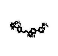 Cn1nnnc1-c1ccc(/C=C/c2n[nH]c3cc(-c4ccnc(N)c4)ccc23)cn1